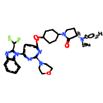 CC(C)(C)N(C(=O)O)[C@H]1CCN(C2CCC(Oc3cc(-n4c(C(F)F)nc5ccccc54)nc(N4CCOCC4)n3)CC2)C1=O